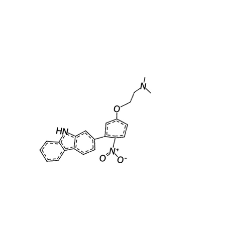 CN(C)CCOc1ccc([N+](=O)[O-])c(-c2ccc3c(c2)[nH]c2ccccc23)c1